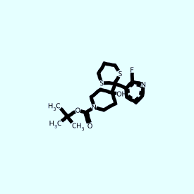 CC(C)(C)OC(=O)N1CCC(O)(C2(c3cccnc3F)SCCCS2)CC1